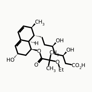 CCOC(C)(C)C(=O)O[C@H]1C[C@H](O)C=C2C=C[C@@H](C)[C@H](CC[C@@H](O)C[C@@H](O)CC(=O)O)[C@H]21